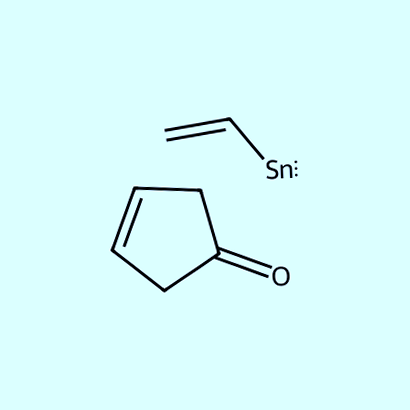 C=[CH][Sn].O=C1CC=CC1